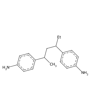 CCC(CC(C)c1ccc(N)cc1)c1ccc(N)cc1